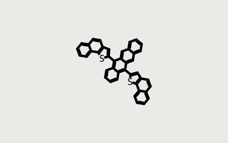 c1ccc2cc3c(-c4cc5ccc6ccccc6c5s4)c4ccccc4c(-c4cc5ccc6ccccc6c5s4)c3cc2c1